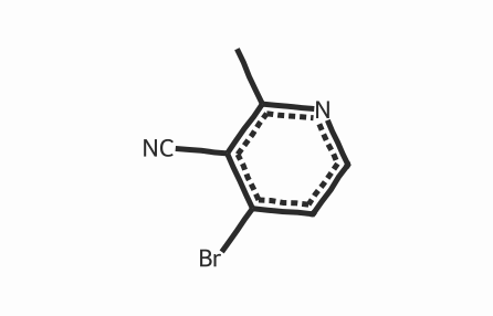 Cc1nccc(Br)c1C#N